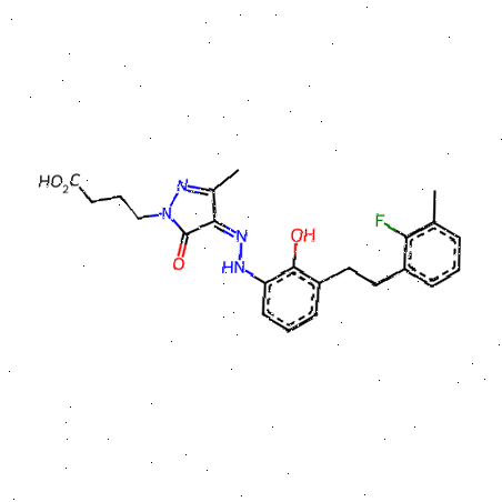 CC1=NN(CCCC(=O)O)C(=O)/C1=N\Nc1cccc(CCc2cccc(C)c2F)c1O